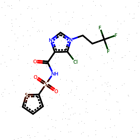 O=C(NS(=O)(=O)c1cccs1)c1ncn(CCC(F)(F)F)c1Cl